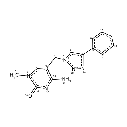 Cn1cc(Cn2cc(-c3ccccc3)nn2)c(N)nc1=O